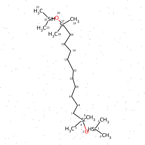 C[SiH](C)O[Si](C)(C)CCCCCCCCCC[Si](C)(C)O[SiH](C)C